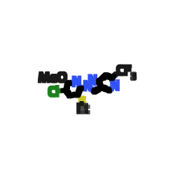 CCSc1cc(Cl)c(OC)nc1-n1cc2cnc(C(F)(F)F)cc2n1